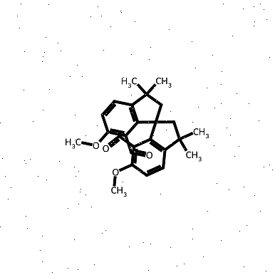 COc1ccc2c(c1C=O)C1(CC2(C)C)CC(C)(C)c2ccc(OC)c(C=O)c21